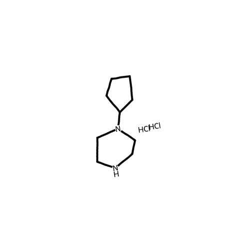 C1CCC(N2CCNCC2)C1.Cl.Cl